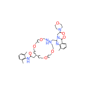 Cc1cccc(C)c1NC(=O)CC1CCOCCOCCN(Cc2nc3c(C)cccc3c(=O)n2CC(=O)N2CCOCC2)NCOCCOCC1